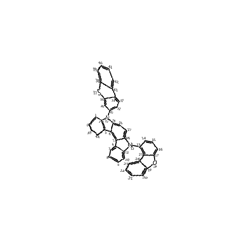 C1=Cc2c(c3c4c5ccccc5n(-c5cccc6oc7ccccc7c56)c4ccc3n2-c2ccc3c(c2)sc2ccccc23)CC1